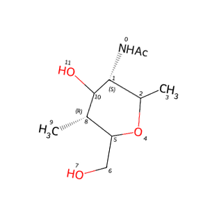 CC(=O)N[C@@H]1C(C)OC(CO)[C@H](C)C1O